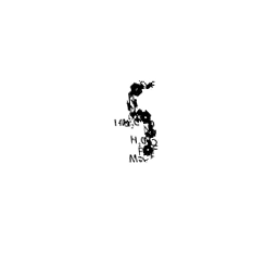 Br.COc1c(F)cc(C(=O)N(C)c2ccc(Oc3ccc4cc(C(=O)N5CCN(Cc6ccc(OCCF)cc6)CC5)n(C)c4c3)nc2)c(F)c1F